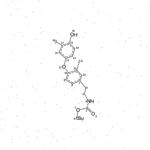 CC(C)(C)OC(=O)NCCc1ccc(Oc2ccc(O)c(I)c2)c(I)c1